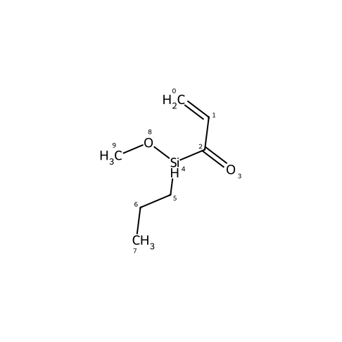 C=CC(=O)[SiH](CCC)OC